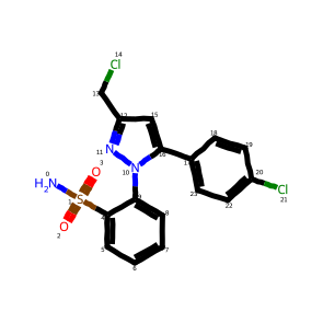 NS(=O)(=O)c1ccccc1-n1nc(CCl)cc1-c1ccc(Cl)cc1